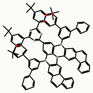 CC(C)(C)c1cc(-c2nc(-c3cc(C(C)(C)C)cc(C(C)(C)C)c3)nc(-c3cc4c5c(c3)N(c3cc(-c6ccccc6)cc(-c6ccccc6)c3)c3cc6ccc7ccccc7c6cc3B5c3cc5c(ccc6ccccc65)cc3N4c3cc(-c4ccccc4)cc(-c4ccccc4)c3)n2)cc(C(C)(C)C)c1